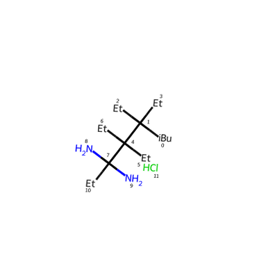 CCC(C)C(CC)(CC)C(CC)(CC)C(N)(N)CC.Cl